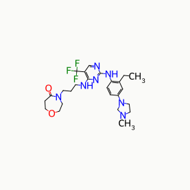 CCc1cc(N2CCN(C)C2)ccc1Nc1ncc(C(F)(F)F)c(NCCCN2CCOCCC2=O)n1